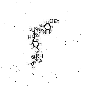 CCOc1cc(C)c(Nc2ncc(C)c(Nc3ccc(CCNS(=O)(=O)C4CC4)cc3)n2)c(C)c1